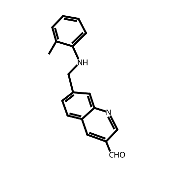 Cc1ccccc1NCc1ccc2cc(C=O)cnc2c1